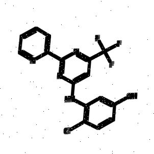 Oc1ccc(Cl)c(Nc2cc(C(F)(F)F)nc(-c3ccccn3)n2)c1